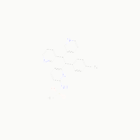 CS(=O)(=O)Nc1cccc(C(c2ccc(C#N)cc2)C(c2cccnc2)c2cccnc2)n1